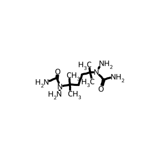 CC(C)(CCC(C)(C)N(N)C(N)=O)N(N)C(N)=O